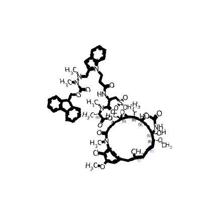 COc1cc2cc(c1Cl)N(C)C(=O)C[C@H](OC(=O)[C@H](C)N(C)C(=O)C(CS(=O)(=O)O)NC(=O)CCn1c(CN(C)N(C)C(=O)OCC3c4ccccc4-c4ccccc43)cc3ccccc31)[C@]1(C)OC1[C@H](C)[C@@H]1C[C@@](O)(NC(=O)O1)[C@H](OC)/C=C/C=C(\C)C2